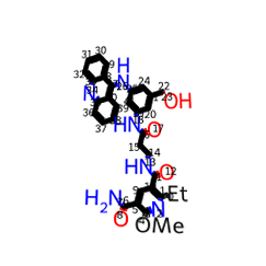 CCc1nc(OC)c(C(N)=O)cc1C(=O)NCCC(=O)Nc1cc(CO)cc(Nc2c3ccccc3nc3ccccc23)c1